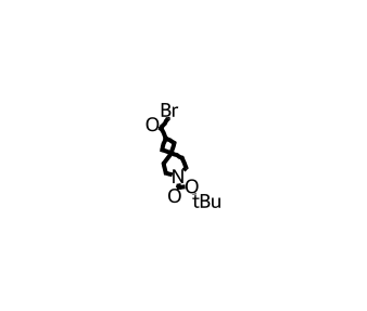 CC(C)(C)OC(=O)N1CCC2(CC1)CC(C(=O)CBr)C2